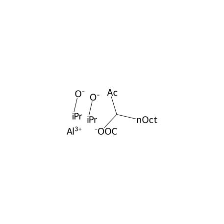 CC(C)[O-].CC(C)[O-].CCCCCCCCC(C(C)=O)C(=O)[O-].[Al+3]